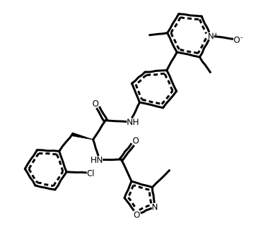 Cc1cc[n+]([O-])c(C)c1-c1ccc(NC(=O)[C@H](Cc2ccccc2Cl)NC(=O)c2conc2C)cc1